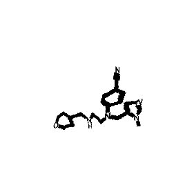 Cn1cncc1CN(CCNCC1CCOCC1)c1ccc(C#N)cc1